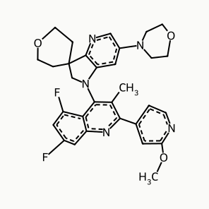 COc1cc(-c2nc3cc(F)cc(F)c3c(N3CC4(CCOCC4)c4ncc(N5CCOCC5)cc43)c2C)ccn1